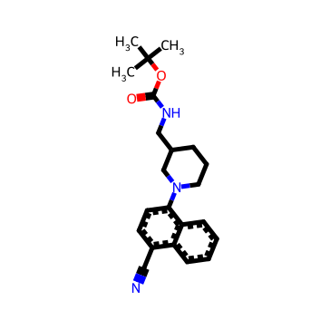 CC(C)(C)OC(=O)NCC1CCCN(c2ccc(C#N)c3ccccc23)C1